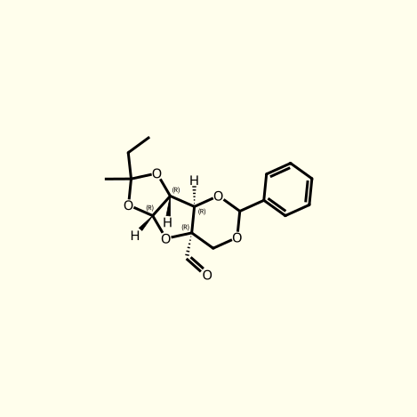 CCC1(C)O[C@H]2O[C@]3(C=O)COC(c4ccccc4)O[C@@H]3[C@H]2O1